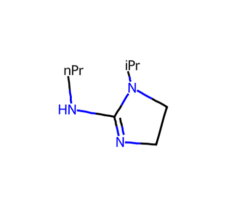 CCCNC1=NCCN1C(C)C